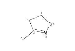 CC1=NOCC1